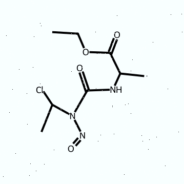 [CH2]C(NC(=O)N(N=O)C(C)Cl)C(=O)OCC